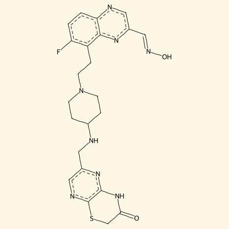 O=C1CSc2ncc(CNC3CCN(CCc4c(F)ccc5ncc(C=NO)nc45)CC3)nc2N1